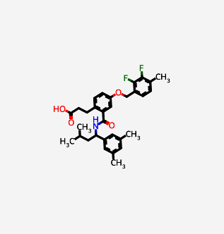 Cc1cc(C)cc(C(CC(C)C)NC(=O)c2cc(OCc3ccc(C)c(F)c3F)ccc2CCC(=O)O)c1